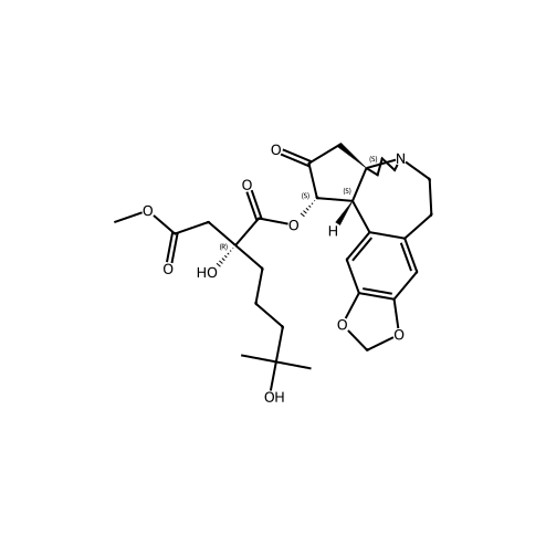 COC(=O)C[C@](O)(CCCC(C)(C)O)C(=O)O[C@@H]1C(=O)C[C@]23CCCN2CCc2cc4c(cc2[C@H]13)OCO4